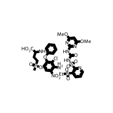 CCS(=O)(=O)c1cccnc1S(=O)(=O)NC(=O)Nc1nc(OC)cc(OC)n1.CP(=O)(O)CCC(N)C(=O)O.Nc1c([N+](=O)[O-])ccc(Oc2ccccc2)c1Cl